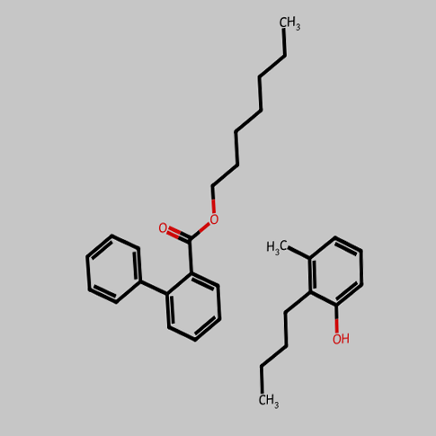 CCCCCCCOC(=O)c1ccccc1-c1ccccc1.CCCCc1c(C)cccc1O